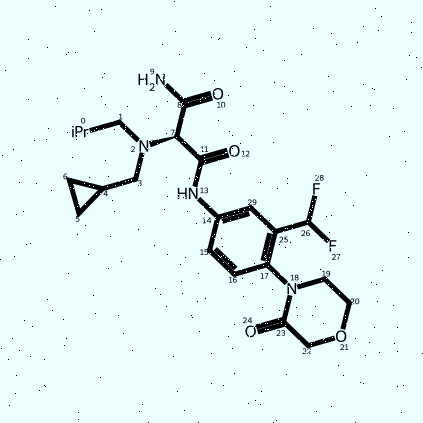 CC(C)CN(CC1CC1)[C@@H](C(N)=O)C(=O)Nc1ccc(N2CCOCC2=O)c(C(F)F)c1